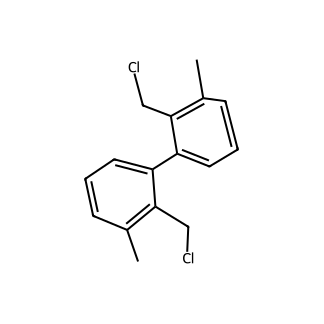 Cc1cccc(-c2cccc(C)c2CCl)c1CCl